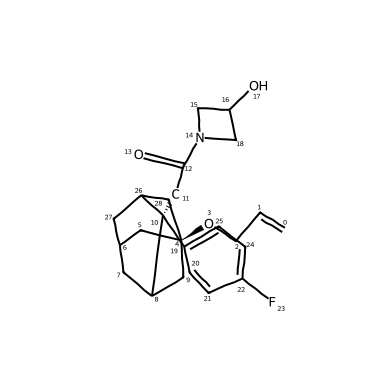 C=CCO[C@]12CC3CC(C1)[C@](CC(=O)N1CC(O)C1)(c1ccc(F)cc1)C(C3)C2